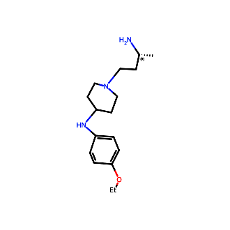 CCOc1ccc(NC2CCN(CC[C@@H](C)N)CC2)cc1